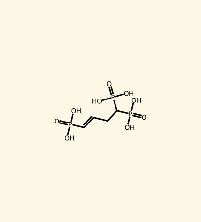 O=P(O)(O)C=CCC(P(=O)(O)O)P(=O)(O)O